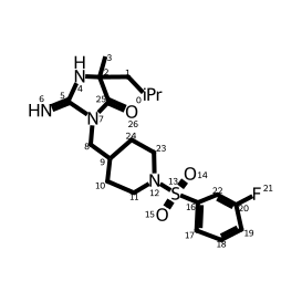 CC(C)CC1(C)NC(=N)N(CC2CCN(S(=O)(=O)c3cccc(F)c3)CC2)C1=O